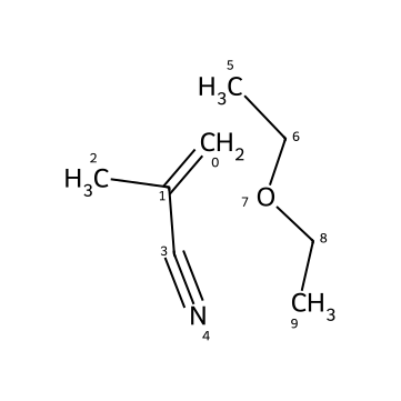 C=C(C)C#N.CCOCC